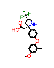 COc1ccc(Oc2ccc([C@@]3(CC(=O)O)C[C@H](C(F)(F)F)CN3)cc2)c(C)c1